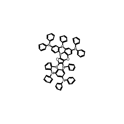 c1ccc(N(c2ccccc2)c2ccc3c(c2)N(c2ccccc2)c2cc(N(c4ccccc4)c4ccccc4)cc4c2B3c2oc3c(c2O4)N(c2ccccc2)c2cc(N(c4ccccc4)c4ccccc4)cc4c2B3c2ccccc2N4c2ccccc2)cc1